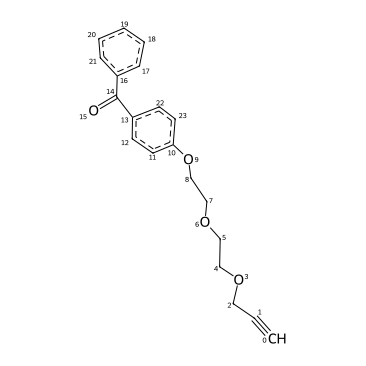 C#CCOCCOCCOc1ccc(C(=O)c2ccccc2)cc1